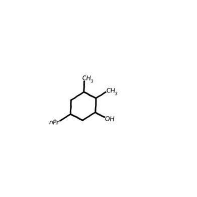 CCCC1CC(C)C(C)C(O)C1